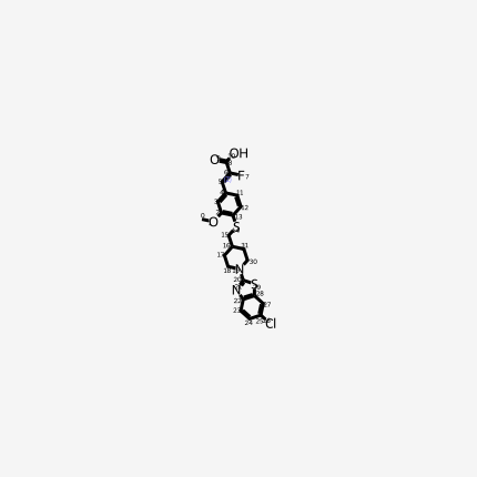 COc1cc(/C=C(\F)C(=O)O)ccc1SCC1CCN(c2nc3ccc(Cl)cc3s2)CC1